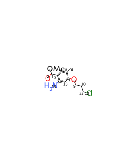 COC(=O)c1cc(C)c(OCCCCl)cc1N